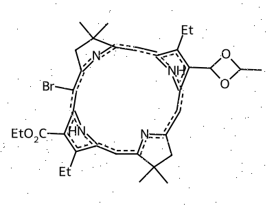 CCOC(=O)c1c(CC)c2cc3nc(cc4[nH]c(cc5nc(c(Br)c1[nH]2)CC5(C)C)c(CC)c4C1OC(C)O1)CC3(C)C